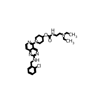 CCN(CC)CCNC(=O)OC1CCN(c2nccc3nc(NCc4ccccc4Cl)ncc23)CC1